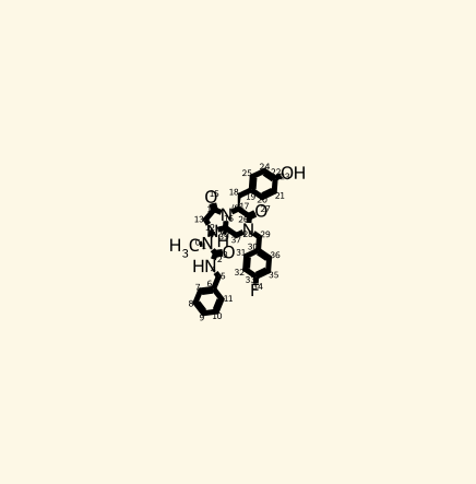 CN(C(=O)NCc1ccccc1)N1CC(=O)N2[C@@H](Cc3ccc(O)cc3)C(=O)N(Cc3ccc(F)cc3)C[C@@H]21